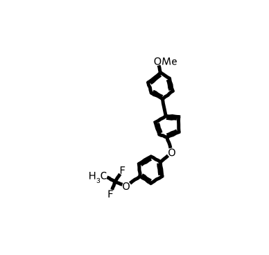 COc1ccc(-c2ccc(Oc3ccc(OC(C)(F)F)cc3)cc2)cc1